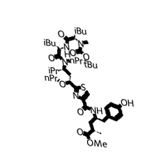 CCCO[C@H](C[C@H](C(C)C)N(CCC)C(=O)[C@@H](NC(=O)[C@H]([C@@H](C)CC)N(C)C(=O)OC(C)(C)C)[C@@H](C)CC)c1nc(C(=O)N[C@@H](Cc2ccc(O)cc2)C[C@H](C)C(=O)OC)cs1